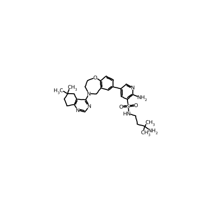 CC(C)(N)CCNS(=O)(=O)c1cc(-c2ccc3c(c2)CN(c2ncnc4c2CC(C)(C)CC4)CCO3)cnc1N